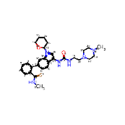 CNC(=S)c1ccccc1-c1ccc2c(NC(=O)NCCN3CCN(C)CC3)cn(C3CCCCO3)c2c1